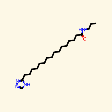 CCCNC(=O)CCCCCCCCCCCCCCCc1nnc[nH]1